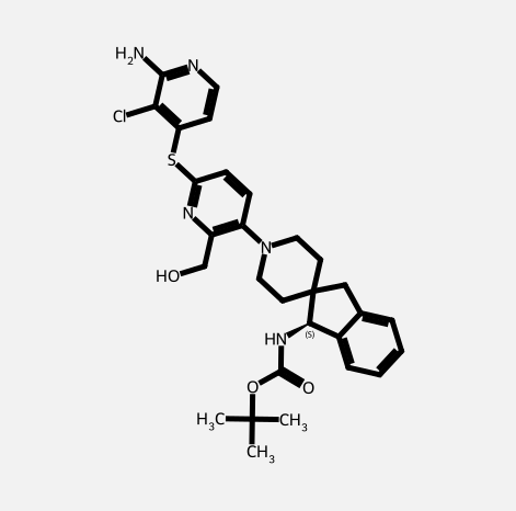 CC(C)(C)OC(=O)N[C@@H]1c2ccccc2CC12CCN(c1ccc(Sc3ccnc(N)c3Cl)nc1CO)CC2